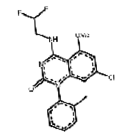 COc1cc(Cl)cc2c1c(NCC(F)F)nc(=O)n2-c1ccccc1C